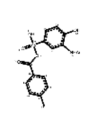 CC(=O)Nc1cc([As](=O)(O)OC(=O)c2ccc(C)cc2)ccc1O